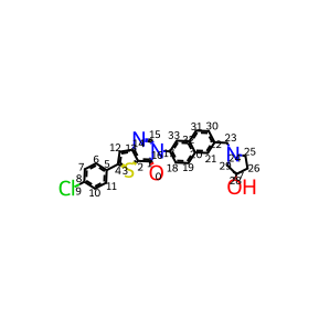 O=c1c2sc(-c3ccc(Cl)cc3)cc2ncn1-c1ccc2cc(CN3CC[C@@H](O)C3)ccc2c1